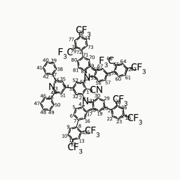 N#Cc1c(-n2c3ccc(-c4ccc(C(F)(F)F)cc4C(F)(F)F)cc3c3cc(-c4ccc(C(F)(F)F)cc4C(F)(F)F)ccc32)cc(-c2cc(-c3ccccc3)nc(-c3ccccc3)c2)cc1-n1c2ccc(-c3ccc(C(F)(F)F)cc3C(F)(F)F)cc2c2cc(-c3ccc(C(F)(F)F)cc3C(F)(F)F)ccc21